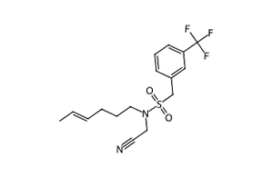 CC=CCCCN(CC#N)S(=O)(=O)Cc1cccc(C(F)(F)F)c1